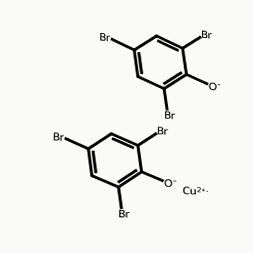 [Cu+2].[O-]c1c(Br)cc(Br)cc1Br.[O-]c1c(Br)cc(Br)cc1Br